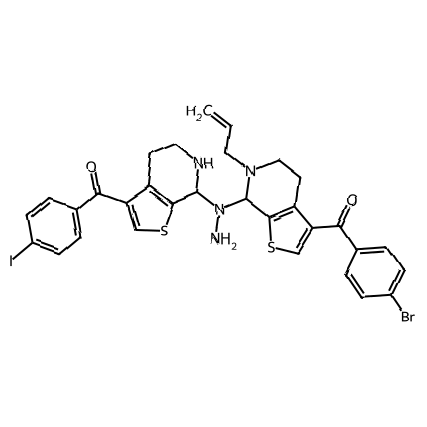 C=CCN1CCc2c(C(=O)c3ccc(Br)cc3)csc2C1N(N)C1NCCc2c(C(=O)c3ccc(I)cc3)csc21